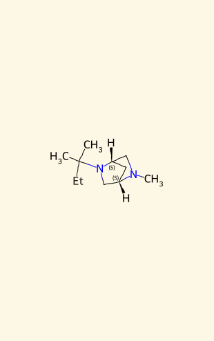 CCC(C)(C)N1C[C@@H]2C[C@H]1CN2C